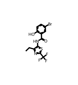 CCc1nc(C(F)(F)F)sc1NC(=O)c1cc(Br)ccc1O